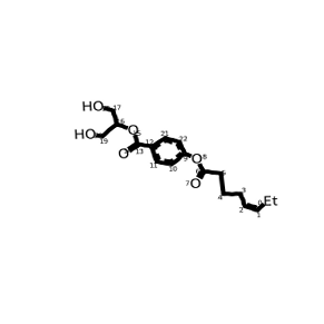 CC/C=C\CCCC(=O)Oc1ccc(C(=O)OC(CO)CO)cc1